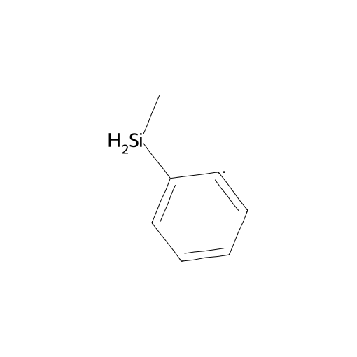 C[SiH2]c1[c]cccc1